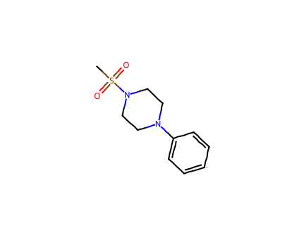 CS(=O)(=O)N1CCN(c2cc[c]cc2)CC1